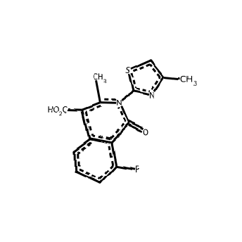 Cc1csc(-n2c(C)c(C(=O)O)c3cccc(F)c3c2=O)n1